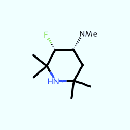 CN[C@@H]1CC(C)(C)NC(C)(C)[C@@H]1F